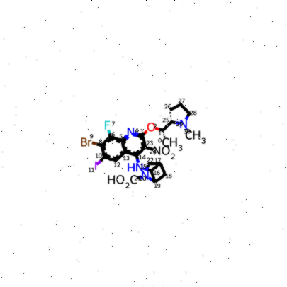 C[C@H](Oc1nc2c(F)c(Br)c(I)cc2c(NC2C3CC2N(C(=O)O)C3)c1[N+](=O)[O-])[C@@H]1CCCN1C